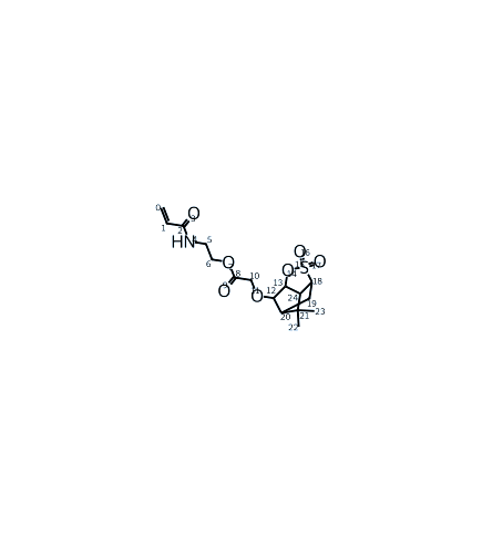 C=CC(=O)NCCOC(=O)COC1C2OS(=O)(=O)C3CC1C(C)(C)C23